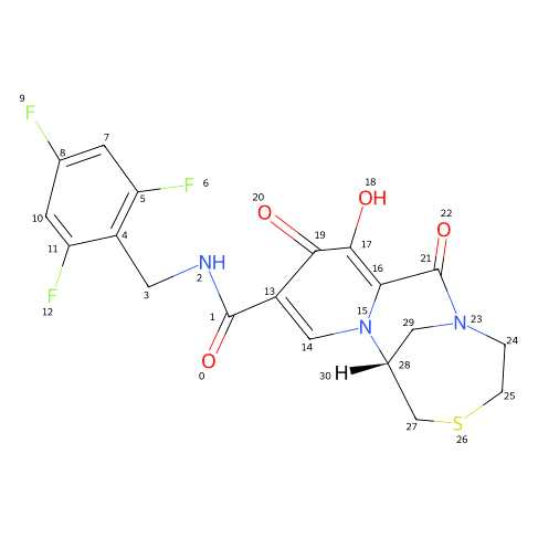 O=C(NCc1c(F)cc(F)cc1F)c1cn2c(c(O)c1=O)C(=O)N1CCSC[C@H]2C1